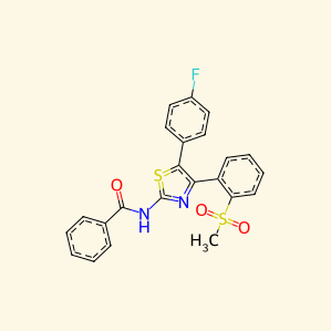 CS(=O)(=O)c1ccccc1-c1nc(NC(=O)c2ccccc2)sc1-c1ccc(F)cc1